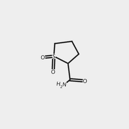 NC(=O)C1CCCS1(=O)=O